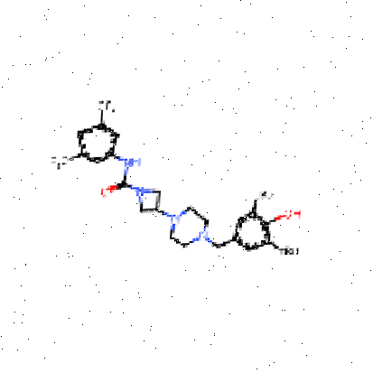 CC(C)(C)c1cc(CN2CCN(C3CN(C(=O)Nc4cc(C(F)(F)F)cc(C(F)(F)F)c4)C3)CC2)cc(C(C)(C)C)c1O